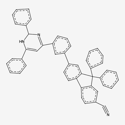 N#Cc1ccc2c(c1)C(c1ccccc1)(c1ccccc1)c1cc(-c3cccc(C4=NC(c5ccccc5)NC(c5ccccc5)=C4)c3)ccc1-2